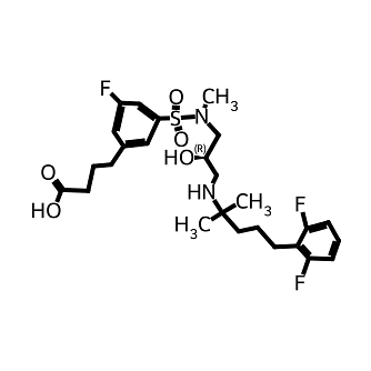 CN(C[C@H](O)CNC(C)(C)CCCc1c(F)cccc1F)S(=O)(=O)c1cc(F)cc(CCCC(=O)O)c1